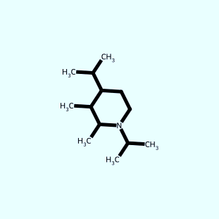 CC(C)C1CCN(C(C)C)C(C)C1C